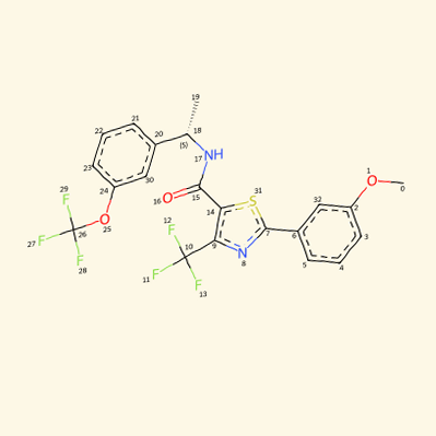 COc1cccc(-c2nc(C(F)(F)F)c(C(=O)N[C@@H](C)c3cccc(OC(F)(F)F)c3)s2)c1